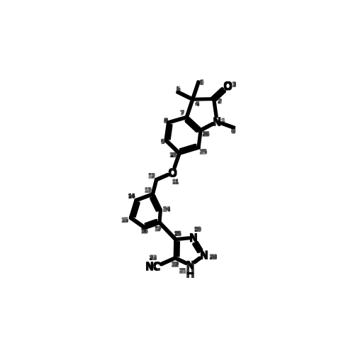 CN1C(=O)C(C)(C)c2ccc(OCc3cccc(-c4nn[nH]c4C#N)c3)cc21